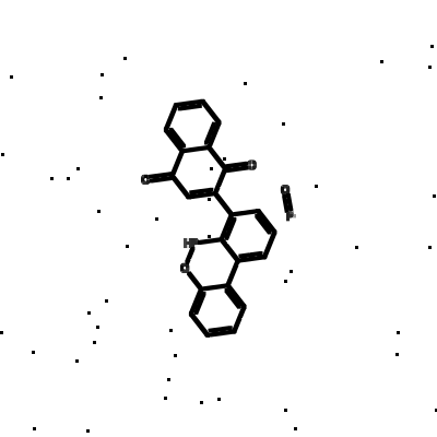 O=C1C=C(c2cccc3c2POc2ccccc2-3)C(=O)c2ccccc21.O=[P]